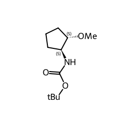 CO[C@H]1CCC[C@@H]1NC(=O)OC(C)(C)C